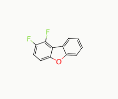 Fc1ccc2oc3ccccc3c2c1F